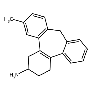 Cc1ccc2c(c1)C1=C(CCC(N)C1)c1ccccc1C2